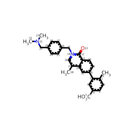 Cc1ccc(C(=O)O)cc1-c1ccc2c(=O)n(Cc3ccc(CN(C)C)cc3)cc(C)c2c1